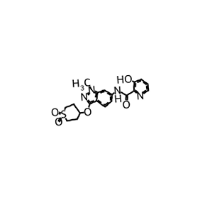 Cn1nc(OC2CCS(=O)(=O)CC2)c2ccc(NC(=O)c3ncccc3O)cc21